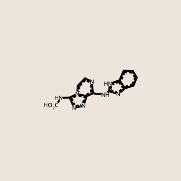 O=C(O)Nc1nnc2c(Nc3nc4ccccc4[nH]3)nccn12